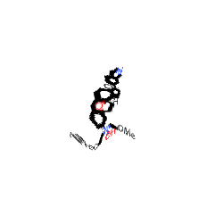 COCC[N+](O)(CCOC)[C@H]1CCC2=CC3=CC[C@]4(C)[C@@H](c5ccc6ccncc6c5)CC[C@H]4[C@@]34CC[C@]2(C1)O4